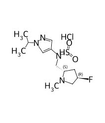 CC(C)n1cc(N(C[C@@H]2C[C@@H](F)CN2C)[SH](=O)=O)cn1.Cl